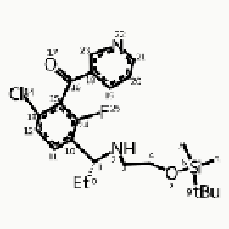 CC[C@@H](NCCO[Si](C)(C)C(C)(C)C)c1ccc(Cl)c(C(=O)c2cccnc2)c1F